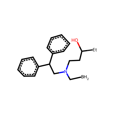 BCN(CCC(O)CC)CC(c1ccccc1)c1ccccc1